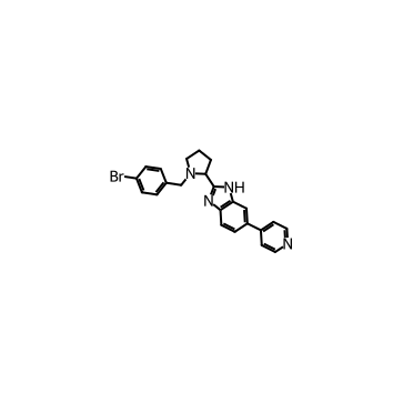 Brc1ccc(CN2CCCC2c2nc3ccc(-c4ccncc4)cc3[nH]2)cc1